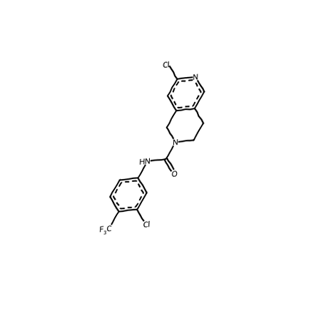 O=C(Nc1ccc(C(F)(F)F)c(Cl)c1)N1CCc2cnc(Cl)cc2C1